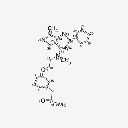 COC(=O)Cc1cccc(OCCN(C)c2nc(-c3cccnc3)nc3c2cnn3C)c1